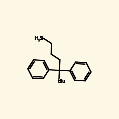 CC(C)(C)C(CCC[SiH3])(c1ccccc1)c1ccccc1